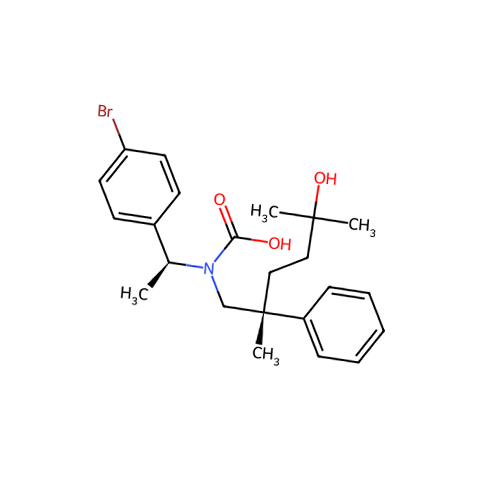 C[C@@H](c1ccc(Br)cc1)N(C[C@](C)(CCC(C)(C)O)c1ccccc1)C(=O)O